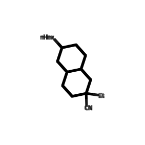 CCCCCCC1CCC2CC(C#N)(CC)CCC2C1